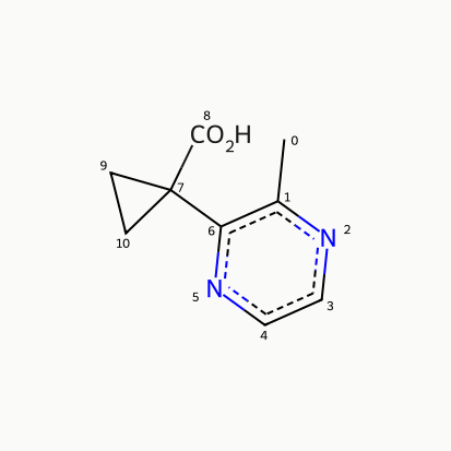 Cc1nccnc1C1(C(=O)O)CC1